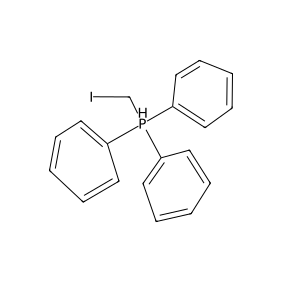 IC[PH](c1ccccc1)(c1ccccc1)c1ccccc1